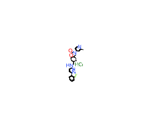 Cc1cc(N2CC3(CCC(CNc4ccc(-c5ccccc5F)nn4)CC3)OC2=O)ccn1.Cl